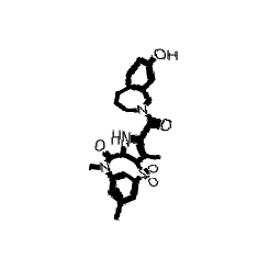 Cc1cc2cc(c1)S(=O)(=O)c1c([nH]c(C(=O)N3CCCc4ccc(O)cc4C3)c1C)C(=O)N2C